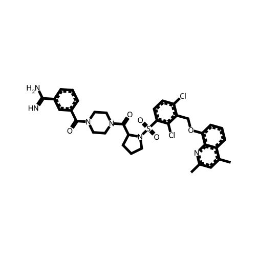 Cc1cc(C)c2cccc(OCc3c(Cl)ccc(S(=O)(=O)N4CCCC4C(=O)N4CCN(C(=O)c5cccc(C(=N)N)c5)CC4)c3Cl)c2n1